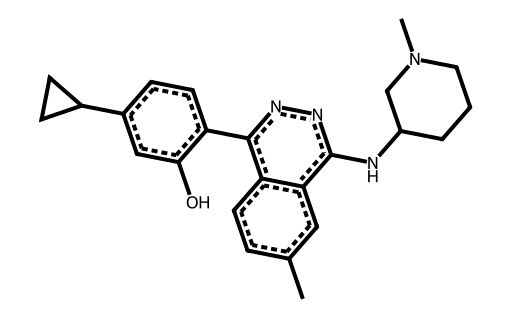 Cc1ccc2c(-c3ccc(C4CC4)cc3O)nnc(NC3CCCN(C)C3)c2c1